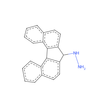 NNC1c2ccc3ccccc3c2-c2c1ccc1ccccc21